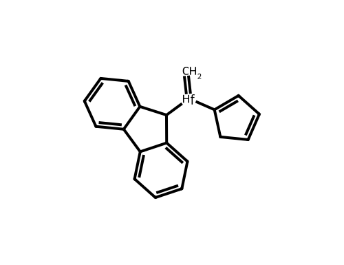 [CH2]=[Hf]([C]1=CC=CC1)[CH]1c2ccccc2-c2ccccc21